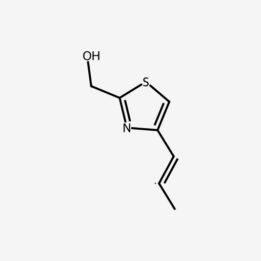 C/[C]=C/c1csc(CO)n1